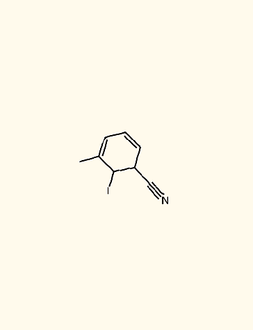 CC1=CC=CC(C#N)C1I